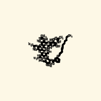 CCCCCCC#CCCCOc1cccc(C(=O)N[C@@H]2C(O[C@@H]3C(CO)O[C@@H](OC4C(CO)O[C@@H](O[C@@H]5C(CO)OC(OC6C(CO)OC(O)[C@@H](NC(C)=O)[C@H]6O)C(NC(C)=O)C5O)[C@@H](NC(C)=O)[C@H]4O)C(NC(C)=O)C3O)OC(CO)[C@@H](O)[C@@H]2O)c1